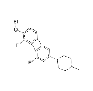 CCOc1ccc2c(c1F)-c1c(F)cc(C3CCC(C)CC3)cc1-2